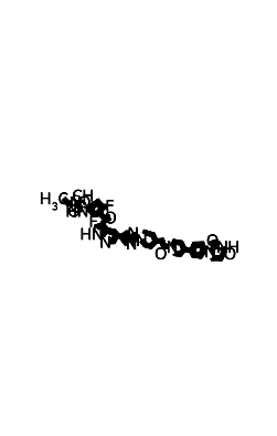 CCN(C)S(=O)(=O)Nc1ccc(F)c(C(=O)c2c[nH]c3ncc(-c4cnc(N5CCC(CC(=O)N6CCC(c7ccc(N8CCC(=O)NC8=O)cc7)CC6)CC5)nc4)cc23)c1F